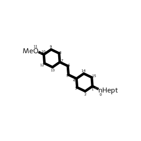 CCCCCCCC1CCC(CCC2CCC(OC)CC2)CC1